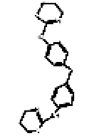 c1cc(Sc2ccc(NC3=NCCCS3)cc2)ccc1NC1=NCCCS1